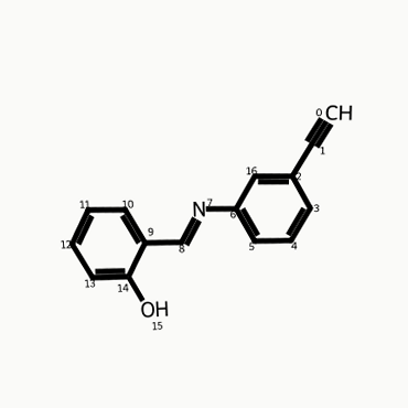 C#Cc1cccc(/N=C/c2ccccc2O)c1